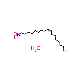 CCCCCCCC/C=C\CCCCCCCCN1CCO1.O